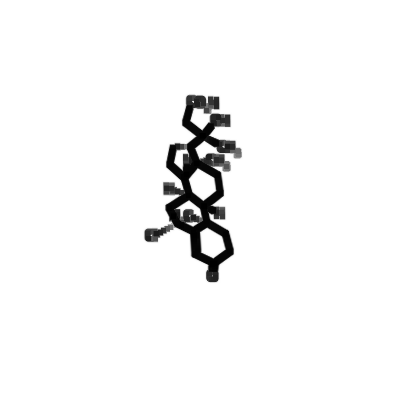 C[C@]12CC[C@H]3[C@@H](C[C@@H](Cl)C4=CC(=O)CC[C@@]43C)[C@@H]1CC[C@@H]2[C@@](C)(O)CC(=O)O